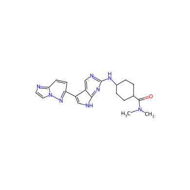 CN(C)C(=O)C1CCC(Nc2ncc3c(-c4ccc5nccn5n4)c[nH]c3n2)CC1